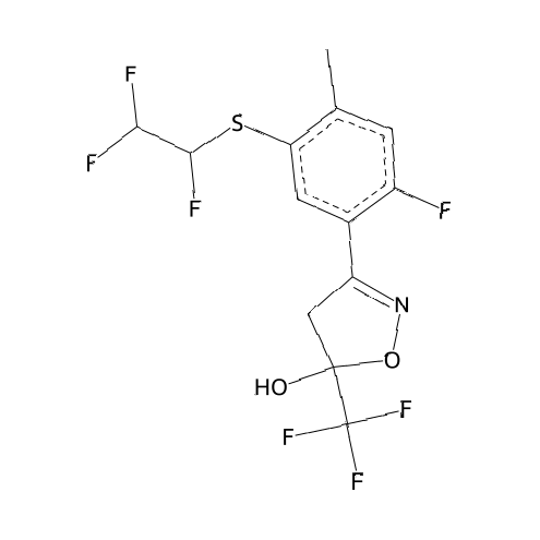 Cc1cc(F)c(C2=NOC(O)(C(F)(F)F)C2)cc1SC(F)C(F)F